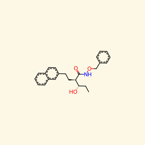 CC[C@H](O)[C@@H](CCc1ccc2ccccc2c1)C(=O)NOCc1ccccc1